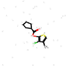 Cc1csc(OC(=O)C2CCCC2)c1Cl